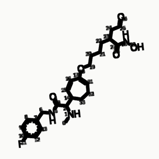 CNC(C(=O)NCc1ccc(F)cc1)C1C=CC(OCCCCC(CC=O)C(=O)NO)=CCC1